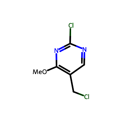 COc1nc(Cl)ncc1CCl